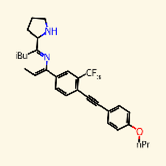 C/C=C(\N=C(/C(C)CC)C1CCCN1)c1ccc(C#Cc2ccc(OCCC)cc2)c(C(F)(F)F)c1